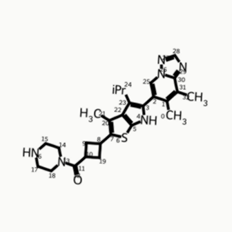 Cc1c(-c2[nH]c3sc(C4CC(C(=O)N5CCNCC5)C4)c(C)c3c2C(C)C)cn2ncnc2c1C